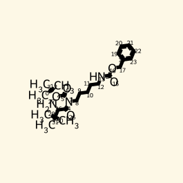 CC(C)(C)OC(=O)N(CCCCCNC(=O)OCc1ccccc1)C(=O)[C@@H](N)C(C)(C)C